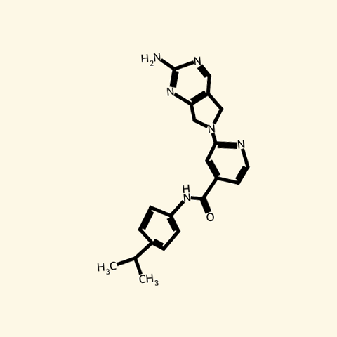 CC(C)c1ccc(NC(=O)c2ccnc(N3Cc4cnc(N)nc4C3)c2)cc1